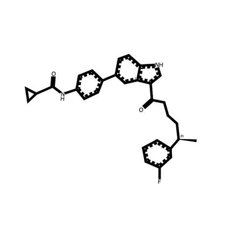 C[C@H](CCCC(=O)c1c[nH]c2ccc(-c3ccc(NC(=O)C4CC4)cc3)cc12)c1cccc(F)c1